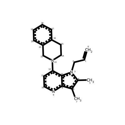 C=CCn1c(C)c(C)c2nccc(N3CCc4ccccc4C3)c21